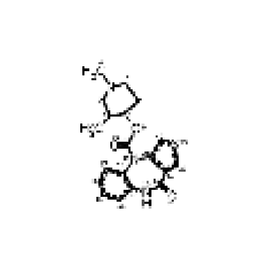 C[C@H]1CN(C)CC[C@@H]1OC(=O)N1c2ccccc2NC(=O)c2cscc21